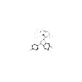 CN1CCNC(C2CC(c3ccc(F)cc3)c3cc(Cl)c(Cl)cc32)C1(C)C